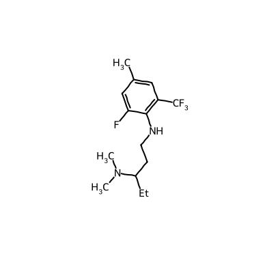 CCC(CCNc1c(F)cc(C)cc1C(F)(F)F)N(C)C